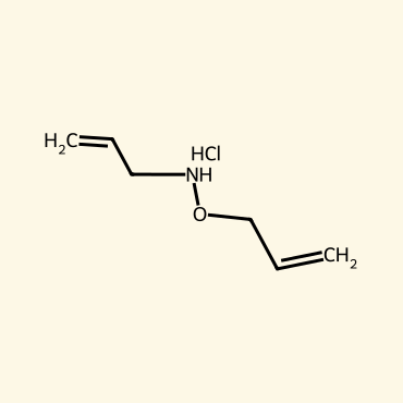 C=CCNOCC=C.Cl